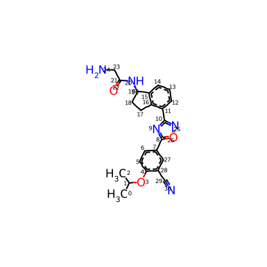 CC(C)Oc1ccc(-c2nc(-c3cccc4c3CC[C@H]4NC(=O)CN)no2)cc1C#N